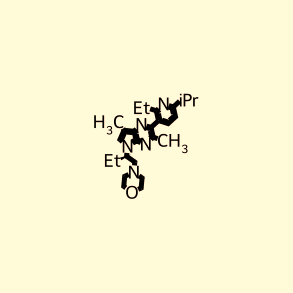 CCc1nc(C(C)C)ccc1-c1nc2c(C)cn([C@H](CC)CN3CCOCC3)c2nc1C